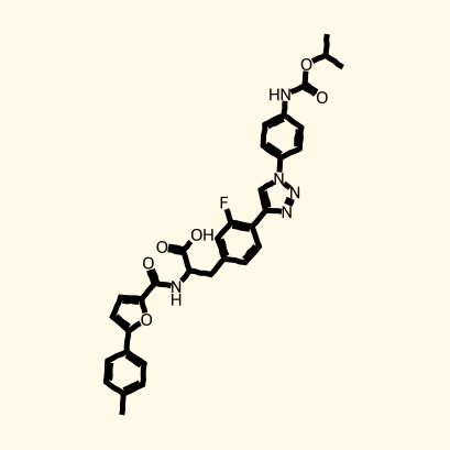 Cc1ccc(-c2ccc(C(=O)NC(Cc3ccc(-c4cn(-c5ccc(NC(=O)OC(C)C)cc5)nn4)c(F)c3)C(=O)O)o2)cc1